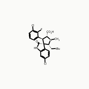 CN1[C@@H](C(=O)O)[C@H](c2cccc(Cl)c2F)[C@@]2(C(=O)Nc3cc(Cl)ccc32)[C@H]1CC(C)(C)C